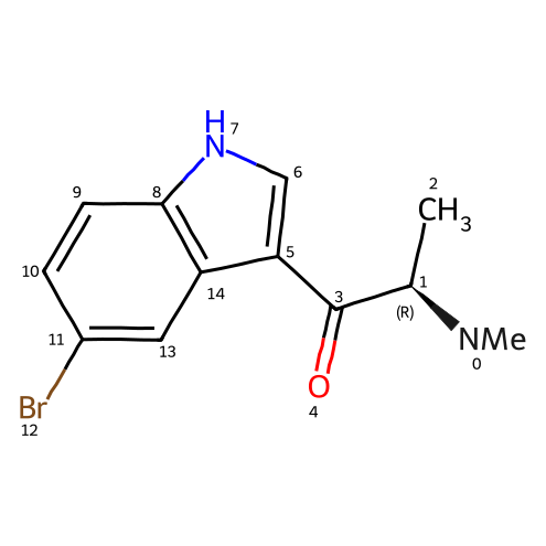 CN[C@H](C)C(=O)c1c[nH]c2ccc(Br)cc12